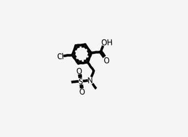 CN(Cc1cc(Cl)ccc1C(=O)O)S(C)(=O)=O